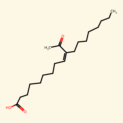 CCCCCCCCC(=CCCCCCCCC(=O)O)C(C)=O